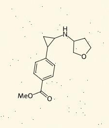 COC(=O)c1ccc(C2CC2NC2CCOC2)cc1